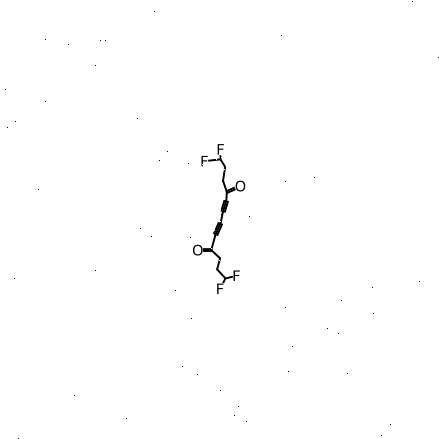 O=C(C#CC#CC(=O)CCC(F)F)CCC(F)F